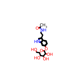 CC(=O)NCCc1c[nH]c2cc(OC3OC(CO)C(O)C(O)C3O)ccc12